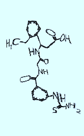 CCc1ccccc1C(CC(=O)O)NC(=O)CNC(=O)c1cccc(NC(N)=S)c1